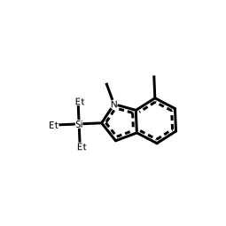 CC[Si](CC)(CC)c1cc2cccc(C)c2n1C